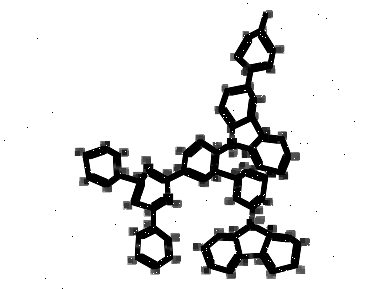 Cc1ccc(-c2ccc3c(c2)c2ccccc2n3-c2ccc(-c3nc(-c4ccccc4)cc(-c4ccccc4)n3)cc2-c2cccc(-n3c4ccccc4c4ccccc43)c2)cc1